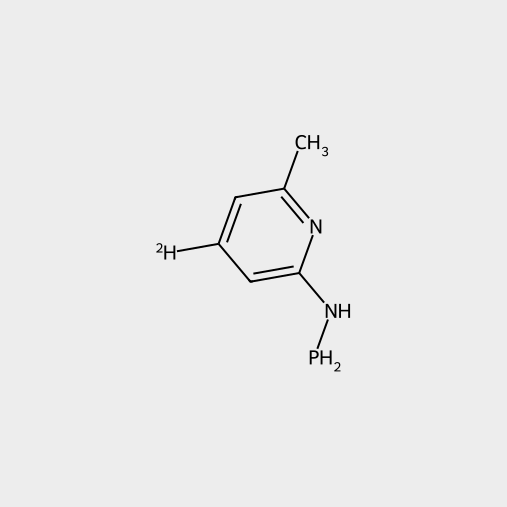 [2H]c1cc(C)nc(NP)c1